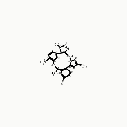 CCn1nnc2c1-c1ccc(N)c(c1)O[C@H](C)c1cc(F)ccc1-c1cc(C)nn1N2